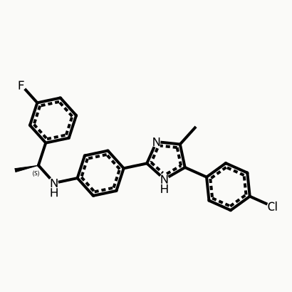 Cc1nc(-c2ccc(N[C@@H](C)c3cccc(F)c3)cc2)[nH]c1-c1ccc(Cl)cc1